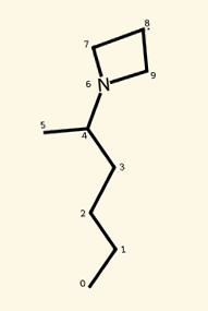 CCCCC(C)N1C[CH]C1